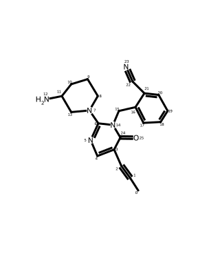 CC#Cc1cnc(N2CCCC(N)C2)n(Cc2ccccc2C#N)c1=O